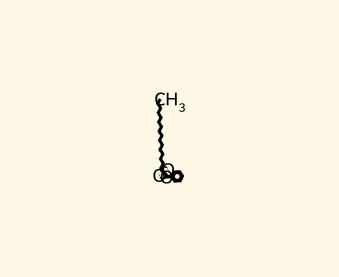 CCCCCCCCCCCCCCCCS(=O)(=O)Oc1ccccc1